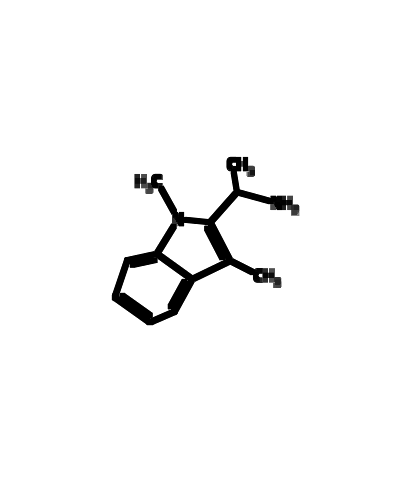 Cc1c(C(C)N)n(C)c2ccccc12